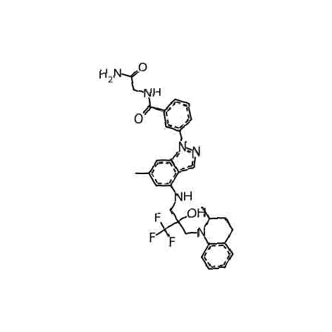 Cc1cc(NCC(O)(CN2c3ccccc3CCC2C)C(F)(F)F)c2cnn(-c3cccc(C(=O)NCC(N)=O)c3)c2c1